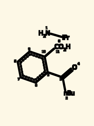 CC(C)N.CCCCC(=O)c1ccccc1C(=O)O